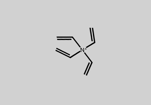 C=C[N+](C=C)(C=C)C=C